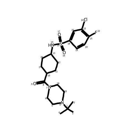 CC(C)(C)N1CCN(C(=O)C2CCC(NS(=O)(=O)c3ccc(F)c(Cl)c3)CC2)CC1